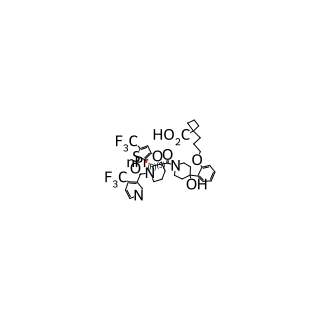 CCC[C@H]1N(C(=O)c2cnccc2C(F)(F)F)CCC[C@@]1(Oc1csc(C(F)(F)F)c1)C(=O)N1CCC(O)(c2ccccc2OCCCC2(C(=O)O)CCC2)CC1